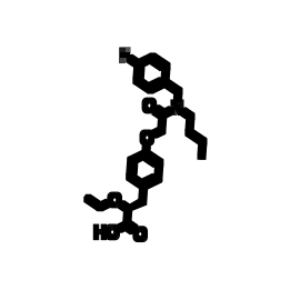 CCCCN(Cc1ccc(F)cc1)C(=O)COc1ccc(C[C@H](OCC)C(=O)O)cc1